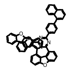 c1ccc2c(-c3ccc(-c4nc(-c5ccc6c(c5)oc5ccccc56)nc(-c5cccc6oc7cccc(-c8cccc9sc%10ccccc%10c89)c7c56)n4)cc3)cccc2c1